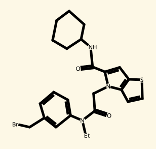 CCN(C(=O)Cn1c(C(=O)NC2CCCCC2)cc2sccc21)c1cccc(CBr)c1